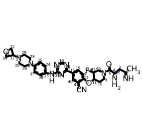 CC(=N)/C=C(\N)C(=O)N1CCC(Oc2ccc(-c3ncnc(Nc4ccc(N5CCN(C6COC6)CC5)cc4)n3)cc2C#N)C(F)C1